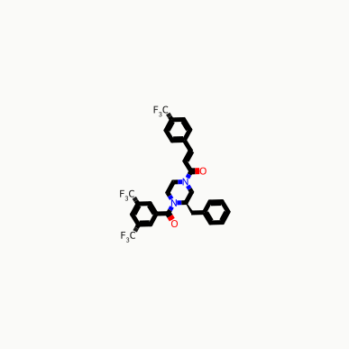 O=C(C=Cc1ccc(C(F)(F)F)cc1)N1CCN(C(=O)c2cc(C(F)(F)F)cc(C(F)(F)F)c2)[C@H](Cc2ccccc2)C1